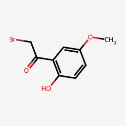 COc1ccc(O)c(C(=O)CBr)c1